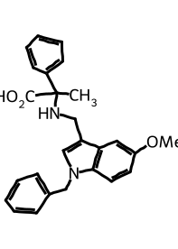 COc1ccc2c(c1)c(CNC(C)(C(=O)O)c1ccccc1)cn2Cc1ccccc1